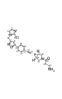 CCc1nccn1Cc1cc(-c2ccc(C#C[C@@H]3[C@H]4CN(C(=O)CCN)C[C@@H]34)cc2)on1